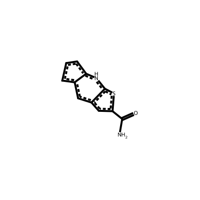 NC(=O)c1cc2cc3cccc-3[nH]c2s1